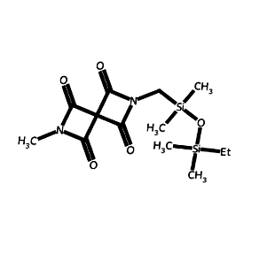 CC[Si](C)(C)O[Si](C)(C)CN1C(=O)C2(C(=O)N(C)C2=O)C1=O